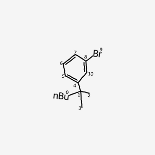 CCCCC(C)(C)c1cccc(Br)c1